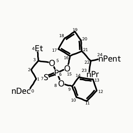 CCCCCCCCCCCCC(CC)OP(=S)(Oc1ccccc1)Oc1ccccc1C(CCC)CCCCC